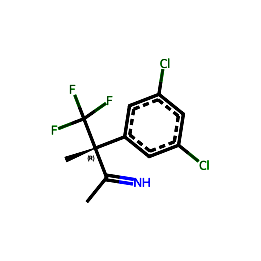 CC(=N)[C@@](C)(c1cc(Cl)cc(Cl)c1)C(F)(F)F